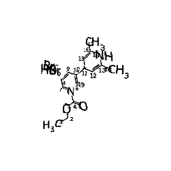 Br.CCOC(=O)[n+]1cccc(C2C=C(C)NC(C)=C2)c1.[Br-]